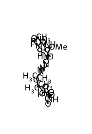 COc1cc(C(=O)NC2CCN(Cc3cn(CCC(C)(C)OCCC(C)(C)Nc4cccc5c4C(=O)N(C4CCC(=O)NC4=O)C5=O)nn3)CC2)c(F)cc1Nc1ncc2c(n1)N(C1CCCC1)CC(F)(F)C(=O)N2C